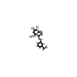 CCCc1cc(=O)[nH]c2nnc(SCc3cccc(C(F)F)c3)n12